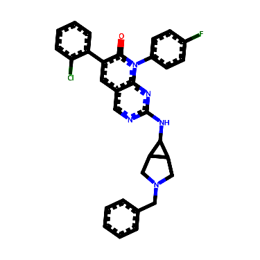 O=c1c(-c2ccccc2Cl)cc2cnc(NC3C4CN(Cc5ccccc5)CC43)nc2n1-c1ccc(F)cc1